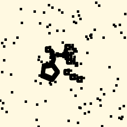 C[SiH](C)[Zr+3]([Cl])[C]1=CC=CC1.[Cl-].[Cl-].[Cl-]